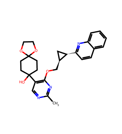 Cc1ncc(C2(O)CCC3(CC2)OCCO3)c(OC[C@H]2C[C@@H]2c2ccc3ccccc3n2)n1